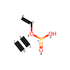 C#C.C#C.C=CO[PH](=O)O